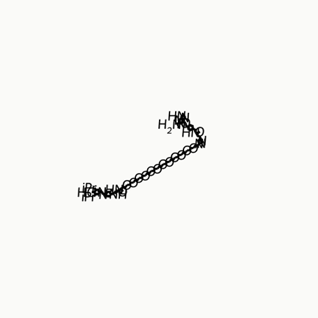 CC(C)c1cc(N=Nc2ccc(NCCNC(=O)CCOCCOCCOCCOCCOCCOCCOCCOCCOCCOCCOCCOCCn3cc(CCC(=O)NCc4ccc(COc5nc(N)nc6[nH]cnc56)cc4)nn3)cc2)cc(C(C)C)c1O